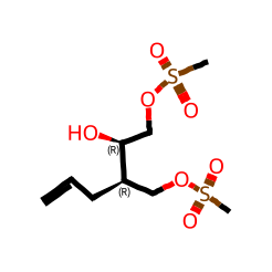 C=CC[C@H](COS(C)(=O)=O)[C@@H](O)COS(C)(=O)=O